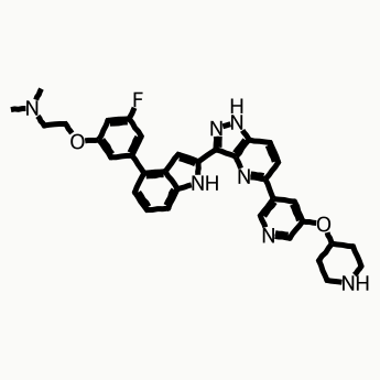 CN(C)CCOc1cc(F)cc(-c2cccc3[nH]c(-c4n[nH]c5ccc(-c6cncc(OC7CCNCC7)c6)nc45)cc23)c1